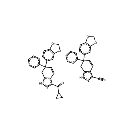 N#Cc1n[nH]c2c1C=CC(c1ccccc1)(c1ccc3c(c1)OCO3)C2.O=C(c1n[nH]c2c1C=CC(c1ccccc1)(c1ccc3c(c1)OCO3)C2)C1CC1